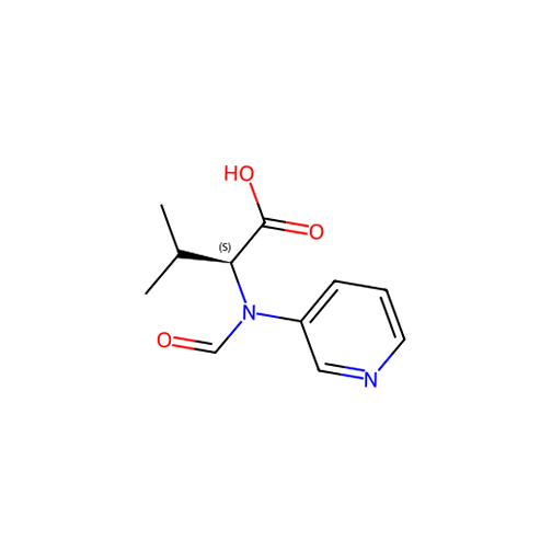 CC(C)[C@@H](C(=O)O)N(C=O)c1cccnc1